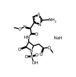 CO/N=C(\C(=O)NC1C(=O)N(S(=O)(=O)O)C1CC(=O)OC)c1csc(N)n1.[NaH]